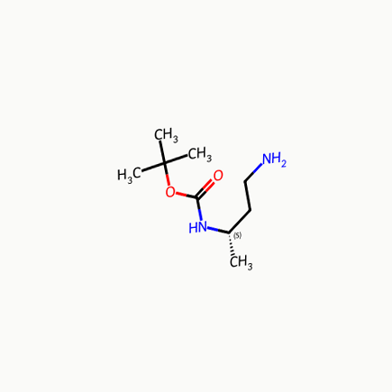 C[C@@H](CCN)NC(=O)OC(C)(C)C